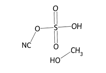 CO.N#COS(=O)(=O)O